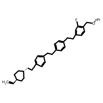 C=C[C@H]1CC[C@H](CCc2ccc(CCc3ccc(CCc4ccc(COCCC)c(F)c4)cc3)cc2)CC1